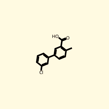 Cc1ccc(-c2cccc(Cl)c2)cc1C(=O)O